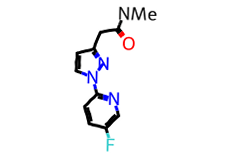 CNC(=O)Cc1ccn(-c2ccc(F)cn2)n1